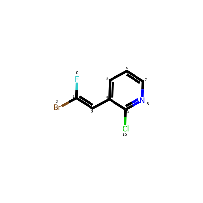 F/C(Br)=C\c1cccnc1Cl